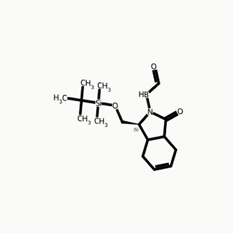 CC(C)(C)[Si](C)(C)OC[C@@H]1C2CC=CCC2C(=O)N1BC=O